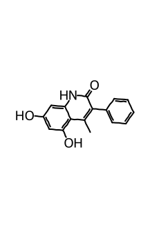 Cc1c(-c2ccccc2)c(=O)[nH]c2cc(O)cc(O)c12